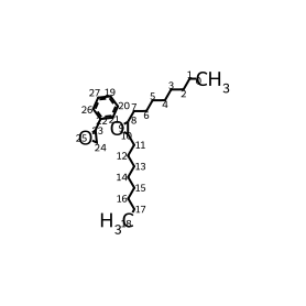 CCCCCCCCC1OC1CCCCCCCC.c1ccc(C2CO2)cc1